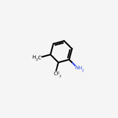 CC1C=CC=C(N)C1C(F)(F)F